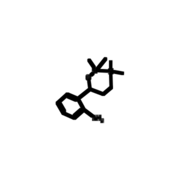 C[Si]1(C)CCC(c2ccccc2N)O[Si]1(C)C